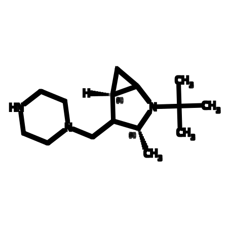 C[C@@H]1C(CN2CCNCC2)[C@H]2CC2N1C(C)(C)C